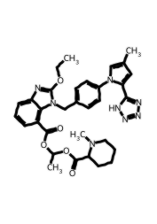 CCOc1nc2cccc(C(=O)OC(C)OC(=O)C3CCCCN3C)c2n1Cc1ccc(-n2cc(C)cc2-c2nnn[nH]2)cc1